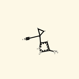 Cc1cc(C2(C#N)CC2)no1